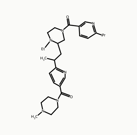 CCN1CCN(C(=O)c2ccc(C(C)C)nc2)CC1CC(C)c1ccc(C(=O)N2CCN(C)CC2)cn1